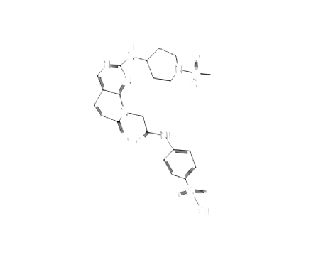 CS(=O)(=O)N1CCC(Nc2ncc3ccc(=O)n(CC(=O)Nc4ccc(S(=O)(=O)O)cc4)c3n2)CC1